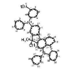 CC(C)(C)c1cccc(N(c2ccccc2)c2ccc3c(c2)C(C)(C)c2cc(N(c4ccccc4)c4ccccc4)c4ccccc4c2-3)c1